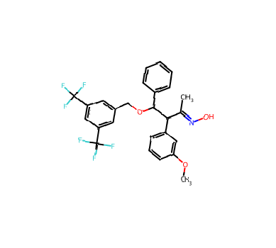 COc1cccc(C(C(C)=NO)C(OCc2cc(C(F)(F)F)cc(C(F)(F)F)c2)c2ccccc2)c1